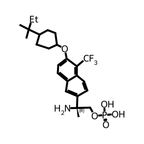 CCC(C)(C)C1CCC(Oc2ccc3cc([C@@](C)(N)COP(=O)(O)O)ccc3c2C(F)(F)F)CC1